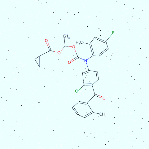 Cc1ccccc1C(=O)c1ccc(N(C(=O)OC(C)OC(=O)C2CC2)c2ccc(F)cc2C)cc1Cl